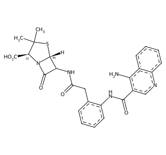 CC1(C)S[C@@H]2C(NC(=O)Cc3ccccc3NC(=O)c3cnc4ccccc4c3N)C(=O)N2[C@H]1C(=O)O